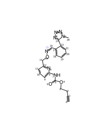 C#CCCOC(=O)Nc1cccc(CO/N=C\c2ccccc2-c2nnnn2C)n1